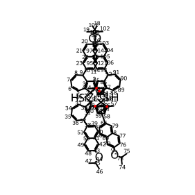 CC1=CC2=C(C=CC=CC2c2ccc3cc(OC(C)C)ccc3c2)[C]12[SiH](C)[C]1(C(C)=CC3=C1C=CC=CC3c1ccc3cc(OC(C)C)ccc3c1)[Zr]21([Cl])([Cl])[C]2(C(C)=CC3=C2C=CC=CC3c2ccc3cc(OC(C)C)ccc3c2)[SiH](C)[C]12C(C)=CC1=C2C=CC=CC1c1ccc2cc(OC(C)C)ccc2c1